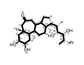 CC(C)[C@H](C)[C@@H](O)[C@H](O)[C@@H](C)[C@H]1CCC2C3CC(=O)C[C@H]4C[C@H](O)[C@H](O)C[C@]4(C)C3CC[C@@]21C